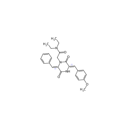 CCN(CC)C(=O)Cn1c(=O)/c(=C/c2ccc(OC)cc2)[nH]c(=O)/c1=C/c1ccccc1